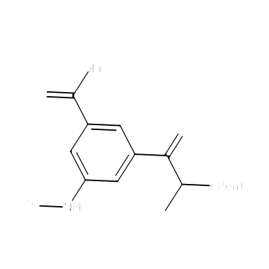 CCCCCC(C)C(=O)c1cc(NC(C)C)cc(C(=O)C(C)C)c1